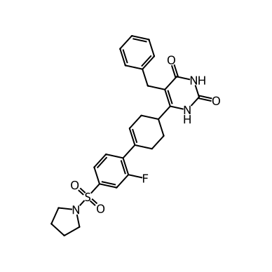 O=c1[nH]c(C2CC=C(c3ccc(S(=O)(=O)N4CCCC4)cc3F)CC2)c(Cc2ccccc2)c(=O)[nH]1